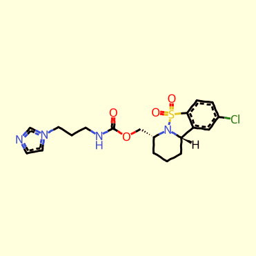 O=C(NCCCn1ccnc1)OC[C@H]1CCC[C@H]2c3cc(Cl)ccc3S(=O)(=O)N12